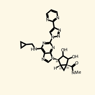 CNC(=O)[C@@]12C[C@@H]1[C@@H](n1cnc3c(NCC4CC4)nc(-n4cc(-c5ncccn5)nn4)nc31)C(O)C2O